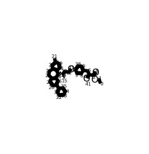 CCOC(=O)C(Cc1ccc(OCCN(C)C2c3ccc(C)cc3CCc3ccc(-c4ccccc4)cc32)cc1)OC